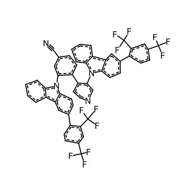 N#Cc1ccc(-c2ccncc2-n2c3ccccc3c3cc(-c4ccc(C(F)(F)F)cc4C(F)(F)F)ccc32)c(-n2c3ccccc3c3cc(-c4ccc(C(F)(F)F)cc4C(F)(F)F)ccc32)c1